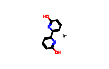 Oc1cccc(-c2cccc(O)n2)n1.[Ir]